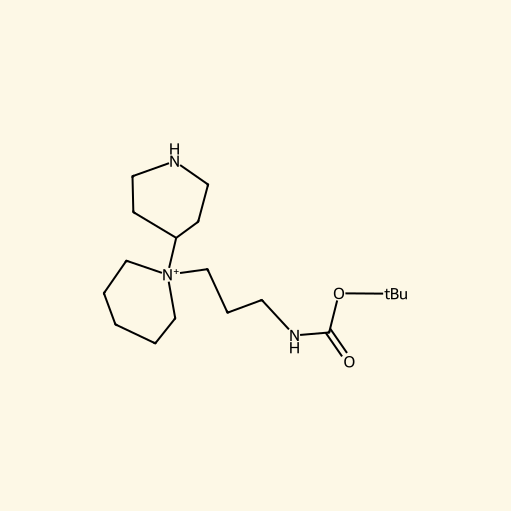 CC(C)(C)OC(=O)NCCC[N+]1(C2CCNCC2)CCCCC1